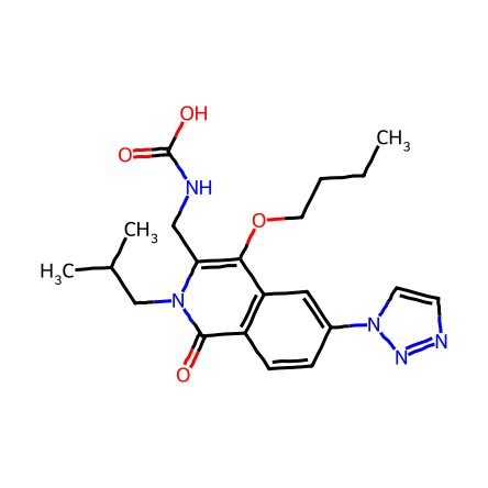 CCCCOc1c(CNC(=O)O)n(CC(C)C)c(=O)c2ccc(-n3ccnn3)cc12